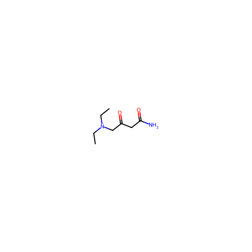 CCN(CC)CC(=O)CC(N)=O